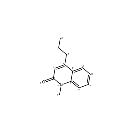 CCCc1cc(=O)n(C)c2ccccc12